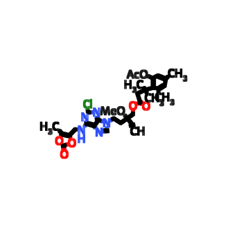 C#CC(CCn1cnc2c(NCc3oc(=O)oc3C)nc(Cl)nc21)(COC(=O)CC(C)(C)c1c(C)cc(C)cc1OC(C)=O)OC